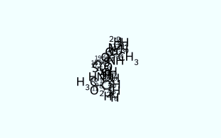 [2H]c1c(C([2H])([2H])[2H])cc(C(C)=O)c(NC(=O)c2sccc2S(=O)(=O)Nc2onc(C([2H])([2H])[2H])c2C)c1C([2H])([2H])[2H]